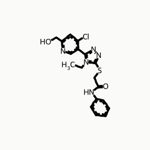 CCn1c(SCC(=O)Nc2ccccc2)nnc1-c1cnc(CO)cc1Cl